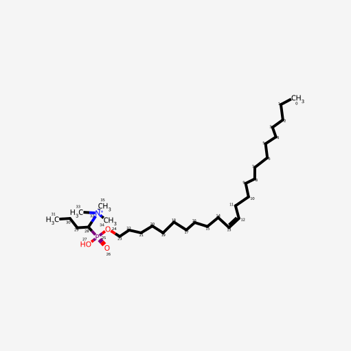 CCCCCCCCCCCC/C=C\CCCCCCCCCCOP(=O)(O)C(CCC)[N+](C)(C)C